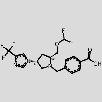 O=C(O)c1ccc(CN2C[C@@H](n3cnc(C(F)(F)F)c3)C[C@H]2COC(F)F)cc1